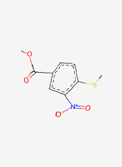 COC(=O)c1ccc(SC)c([N+](=O)[O-])c1